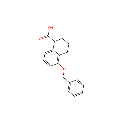 O=C(O)C1CCCc2c(OCc3ccccc3)cccc21